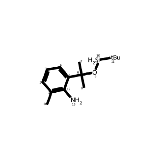 Cc1cccc(C(C)(C)O[SiH2]C(C)(C)C)c1N